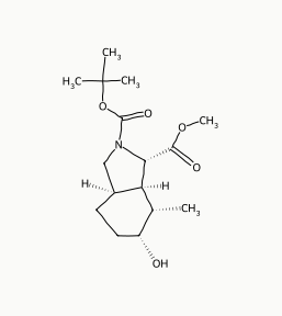 COC(=O)[C@@H]1[C@@H]2[C@@H](CC[C@@H](O)[C@H]2C)CN1C(=O)OC(C)(C)C